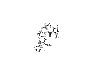 CCn1nc(C)c(C2CC2)c1Nc1nc(C)nc2[nH]c3cc(-c4c(C)noc4C)c(OC)cc3c12